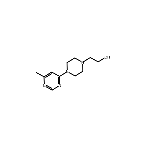 Cc1cc(N2CCN(CCO)CC2)ncn1